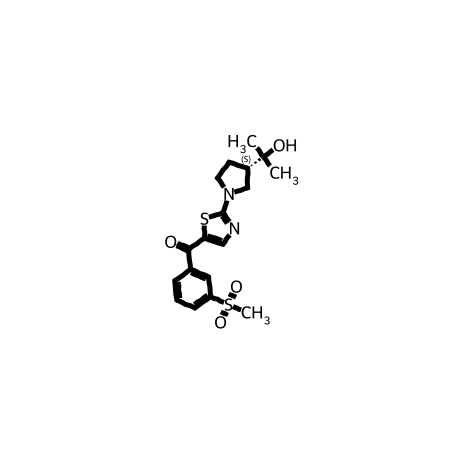 CC(C)(O)[C@H]1CCN(c2ncc(C(=O)c3cccc(S(C)(=O)=O)c3)s2)C1